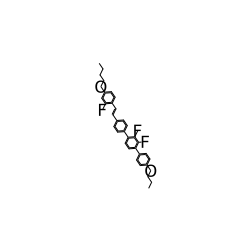 CCCCOc1ccc(/C=C/c2ccc(-c3ccc(-c4ccc(OCCC)cc4)c(F)c3F)cc2)c(F)c1